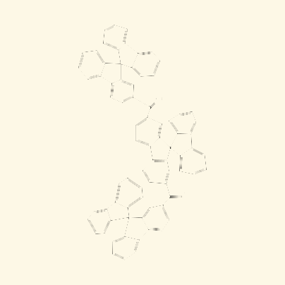 C=C(c1ccc2c(c1)C1(c3ccccc3-c3ccccc31)c1ccccc1-2)c1ccc2c(c1)C1(c3ccccc3-c3ccccc31)c1cc(C(=O)c3ccc4c(c3)C3(c5ccccc5-c5ccccc53)c3ccccc3-4)ccc1-2